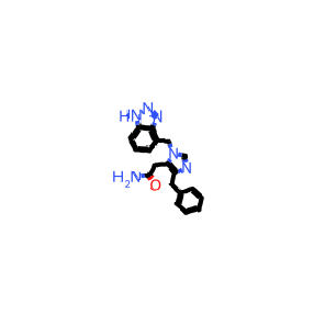 NC(=O)Cc1c(Cc2ccccc2)ncn1Cc1cccc2[nH]nnc12